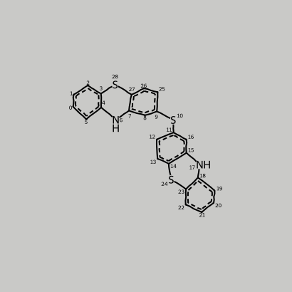 c1ccc2c(c1)Nc1cc(Sc3ccc4c(c3)Nc3ccccc3S4)ccc1S2